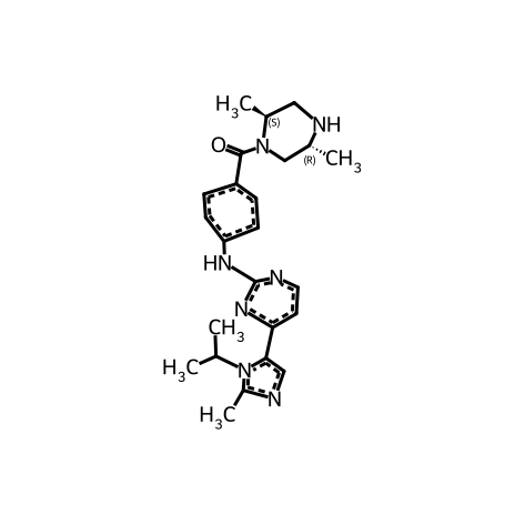 Cc1ncc(-c2ccnc(Nc3ccc(C(=O)N4C[C@@H](C)NC[C@@H]4C)cc3)n2)n1C(C)C